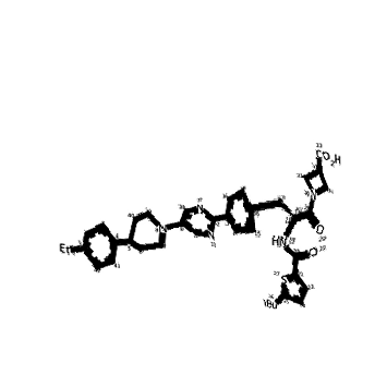 CCc1ccc(C2CCN(c3cnc(-c4ccc(C[C@H](NC(=O)c5ccc(C(C)(C)C)s5)C(=O)N5CC(C(=O)O)C5)cc4)nc3)CC2)cc1